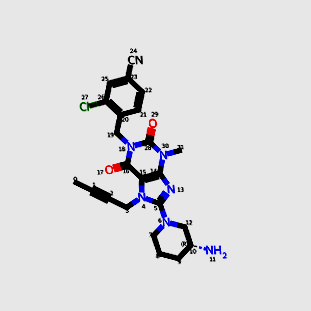 CC#CCn1c(N2CCC[C@@H](N)C2)nc2c1c(=O)n(Cc1ccc(C#N)cc1Cl)c(=O)n2C